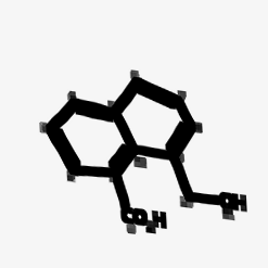 O=C(O)c1cccc2cccc(CO)c12